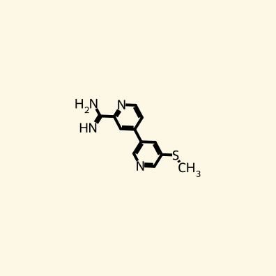 CSc1cncc(-c2ccnc(C(=N)N)c2)c1